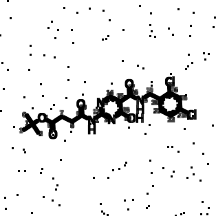 CC(C)(C)OC(=O)CCC(=O)Nc1ncc(C(=O)NCc2ccc(Cl)cc2Cl)c(O)n1